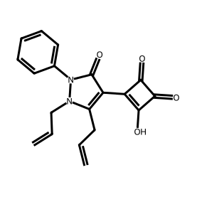 C=CCc1c(-c2c(O)c(=O)c2=O)c(=O)n(-c2ccccc2)n1CC=C